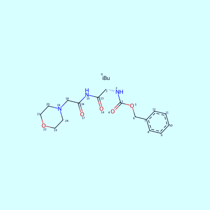 CC[C@H](C)[C@H](NC(=O)OCc1ccccc1)C(=O)NC(=O)CN1CCOCC1